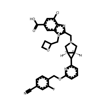 N#Cc1ccc(COc2cccc(C3[C@H]4CN(Cc5nc6c(Cl)cc(C(=O)O)cc6n5CC5CCO5)C[C@@H]34)n2)c(F)c1